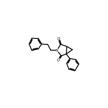 O=C1C2CC2(c2ccccc2)C(=O)N1CCc1ccccc1